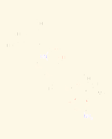 CO[C@@H]1[C@@H](OC(N)=O)[C@@H](O)[C@H](Oc2ccc3c(O)c(NC(=O)c4ccc(C)c(CC=C(C)C)c4)c(=O)oc3c2C)OC1(C)C